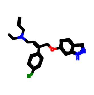 C=CCN(CC)CC=C(COc1ccc2cn[nH]c2c1)c1ccc(Br)cc1